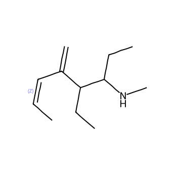 C=C(/C=C\C)C(CC)C(CC)NC